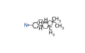 CC[C@@]1(C)C[C@H]2[C@@H]3CCc4cc(C#N)ccc4[C@H]3CC[C@]2(C)C1